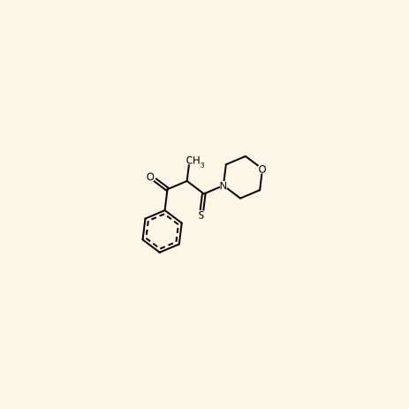 CC(C(=O)c1ccccc1)C(=S)N1CCOCC1